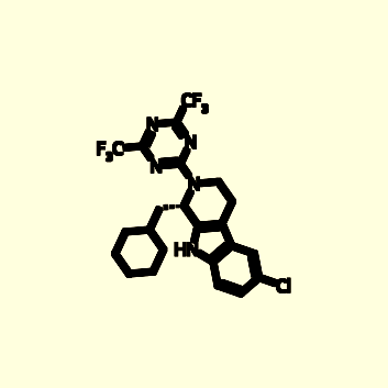 FC(F)(F)c1nc(N2CCc3c([nH]c4ccc(Cl)cc34)[C@@H]2CC2CCCCC2)nc(C(F)(F)F)n1